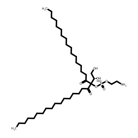 CCCCCCCCCCCCCCCCC(=O)C(OP(=O)(O)OCCN)(C(=O)CCCCCCCCCCCCCCCC)[C@@H](O)CO